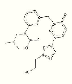 CC(C)CN(C(=O)O)c1cccc(Cc2nn(-c3cnn(CCO)c3)ccc2=O)c1